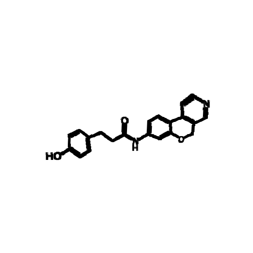 O=C(CCc1ccc(O)cc1)Nc1ccc2c(c1)OCc1cnccc1-2